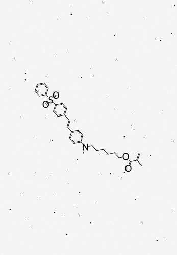 C=C(C)C(=O)OCCCCCCN(C)c1ccc(/C=C/c2ccc(S(=O)(=O)c3ccccc3)cc2)cc1